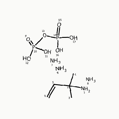 C=CC(C)(C)N.N.N.N.O=P(O)(O)OP(=O)(O)O